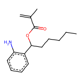 C=C(C)C(=O)OC(CCCCC)c1ccccc1N